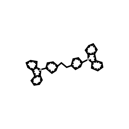 c1ccc2c(c1)c1ccccc1n2-c1ccc(CCc2ccc(-n3c4ccccc4c4ccccc43)cc2)cc1